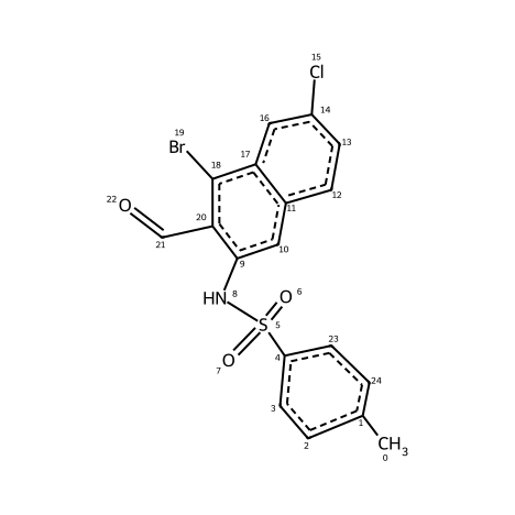 Cc1ccc(S(=O)(=O)Nc2cc3ccc(Cl)cc3c(Br)c2C=O)cc1